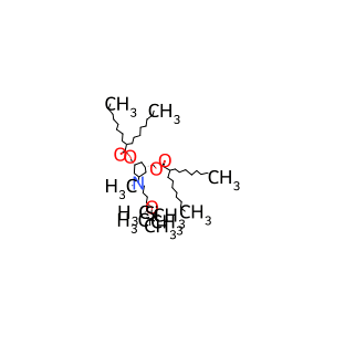 CCCCCCCCC(CCCCCCCC)C(=O)OC[C@@H]1CC(N(C)CCCCO[Si](C)(C)C(C)(C)C)C[C@H](COC(=O)C(CCCCCCCC)CCCCCCCC)C1